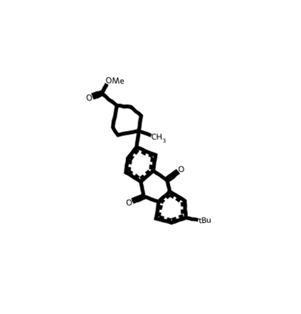 COC(=O)C1CCC(C)(c2ccc3c(c2)C(=O)c2cc(C(C)(C)C)ccc2C3=O)CC1